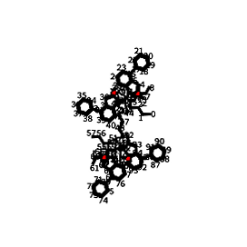 CCC[CH2][Hf]([CH2]CCC)([SiH2]C)([CH]1C(C)=Cc2c(-c3ccccc3)cccc21)([CH]1C(C)=Cc2c(-c3ccccc3)cccc21)[Si](C)(C)CCCC[Si](C)(C)[Hf]([CH2]CCC)([CH2]CCC)([SiH2]C)([CH]1C(C)=Cc2c(-c3ccccc3)cccc21)[CH]1C(C)=Cc2c(-c3ccccc3)cccc21